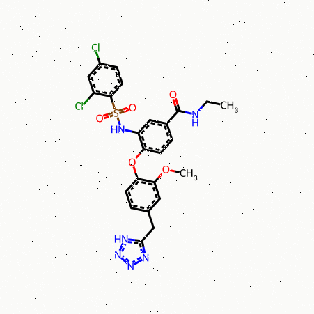 CCNC(=O)c1ccc(Oc2ccc(Cc3nnn[nH]3)cc2OC)c(NS(=O)(=O)c2ccc(Cl)cc2Cl)c1